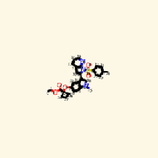 CCOC(=O)C1(Oc2ccc3c(c2)c(-c2cc4cccnc4n2S(=O)(=O)c2ccc(C)cc2)cn3C)CCC1